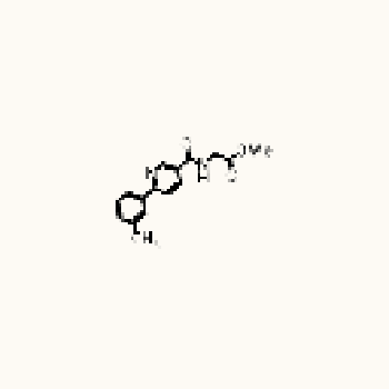 COC(=O)CNC(=O)c1ccc(-c2cccc(C)c2)nc1